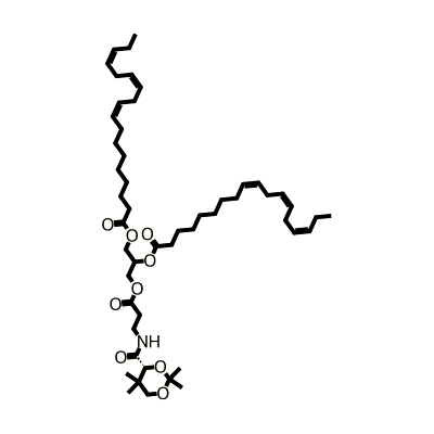 CC/C=C\C/C=C\C/C=C\CCCCCCCC(=O)OCC(COC(=O)CCNC(=O)[C@@H]1OC(C)(C)OCC1(C)C)OC(=O)CCCCCCC/C=C\C/C=C\C/C=C\CC